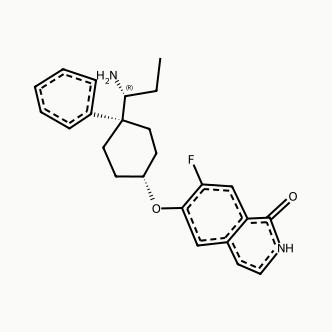 CC[C@@H](N)[C@]1(c2ccccc2)CC[C@@H](Oc2cc3cc[nH]c(=O)c3cc2F)CC1